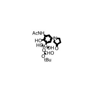 CC(=O)Nc1cccc([As](=O)(O)O)c1O.CC(C)(C)OC=O.O=C1CCNC1